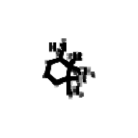 CCC1(N)CCCC(N)C1(C)CC